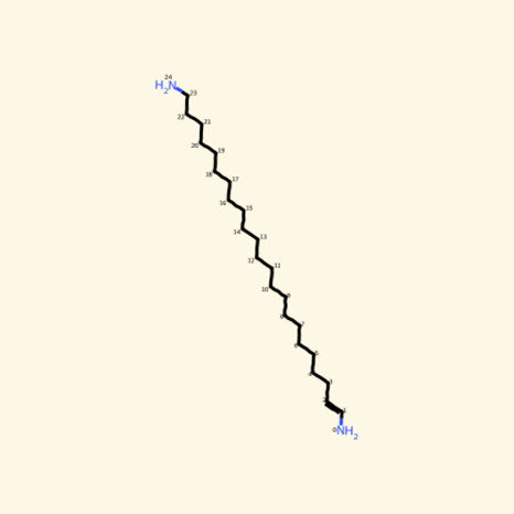 NC=CCCCCCCCCCCCCCCCCCCCCCN